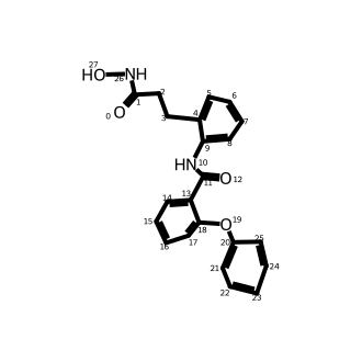 O=C(CCc1ccccc1NC(=O)c1ccccc1Oc1ccccc1)NO